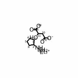 N.NC1CCCC1.O=C([O-])CC(O)C(=O)[O-].[Pt+2]